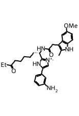 CCC(=O)CCCCC[C@H](NC(=O)Cc1c(C)[nH]c2ccc(OC)cc12)C1=[N+]C=C(c2cccc(N)c2)N1